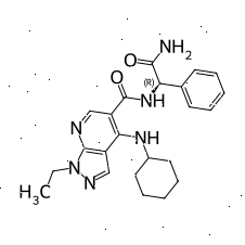 CCn1ncc2c(NC3CCCCC3)c(C(=O)N[C@@H](C(N)=O)c3ccccc3)cnc21